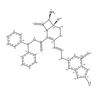 N[C@@H]1C(=O)N2C(C(=O)OC(c3ccccc3)c3ccccc3)=C(C=CSc3cc(=O)c4cc(Cl)sc4s3)CS[C@@H]12